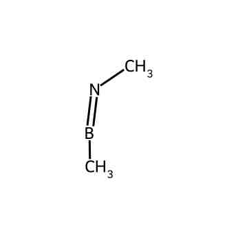 C/B=N\C